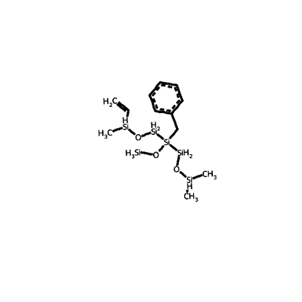 C=C[SiH](C)O[SiH2][Si](Cc1ccccc1)(O[SiH3])[SiH2]O[SiH](C)C